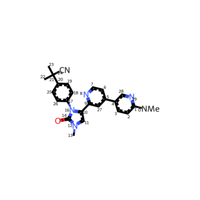 CNc1ccc(-c2ccnc(-c3cn(C)c(=O)n3-c3ccc(C(C)(C)C#N)cc3)c2)cn1